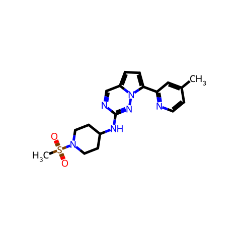 Cc1ccnc(-c2ccc3cnc(NC4CCN(S(C)(=O)=O)CC4)nn23)c1